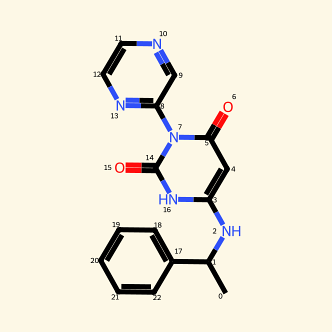 CC(Nc1cc(=O)n(-c2cnccn2)c(=O)[nH]1)c1ccccc1